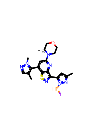 Cc1cc(-c2nsc3c(-c4c(C)cnn4C)cc(N4CCOC[C@H]4C)nc23)n(PI)n1